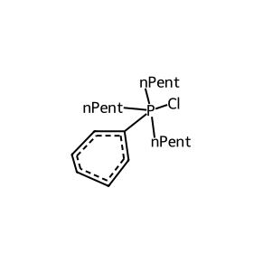 CCCCCP(Cl)(CCCCC)(CCCCC)c1ccccc1